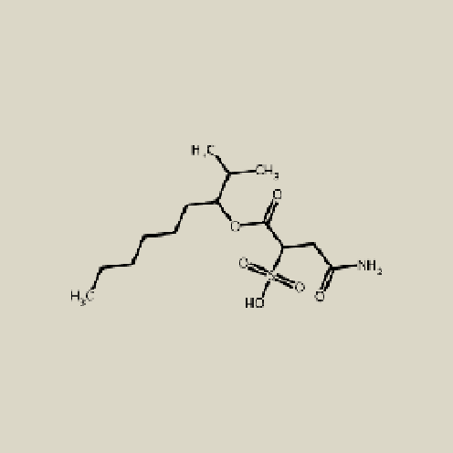 CCCCCCC(OC(=O)C(CC(N)=O)S(=O)(=O)O)C(C)C